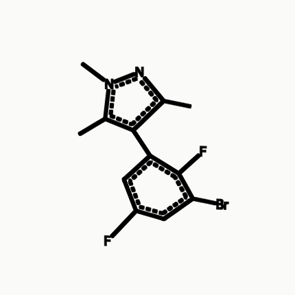 Cc1nn(C)c(C)c1-c1cc(F)cc(Br)c1F